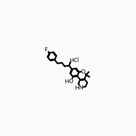 CC(CCCc1ccc(F)cc1)c1cc(O)c2c(c1)OC(C)(C)C1=C2CNCC1.Cl